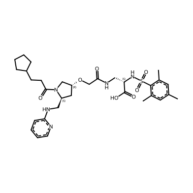 Cc1cc(C)c(S(=O)(=O)N[C@@H](CNC(=O)CO[C@@H]2C[C@@H](CNc3ccccn3)N(C(=O)CCC3CCCC3)C2)C(=O)O)c(C)c1